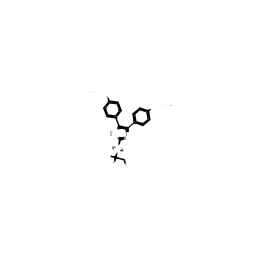 COc1ccc(-c2nc(S(=O)(=O)C(F)(F)CF)[nH]c2-c2ccc(OC)cc2)cc1